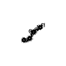 O=c1cc(OCc2ccc(Cl)cn2)ccn1CCc1ccc(CN2CCCCC2)cc1